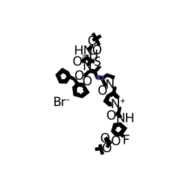 CC(C)(C)OC(=O)N[C@@H]1C(=O)N2C(C(=O)OC(c3ccccc3)c3ccccc3)=C(/C=C3\CCN(Cc4ccc[n+](CC(=O)Nc5ccc(OC(=O)OC(C)(C)C)c(F)c5)c4)C3=O)CS[C@H]12.[Br-]